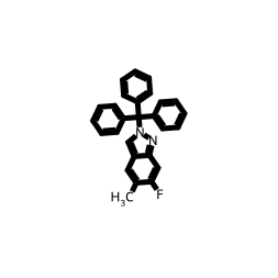 Cc1cc2cn(C(c3ccccc3)(c3ccccc3)c3ccccc3)nc2cc1F